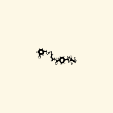 CC(C/C=N\OCc1cccc(Cl)c1)NC(=O)c1ccc(-c2noc(C(F)(F)F)n2)cc1